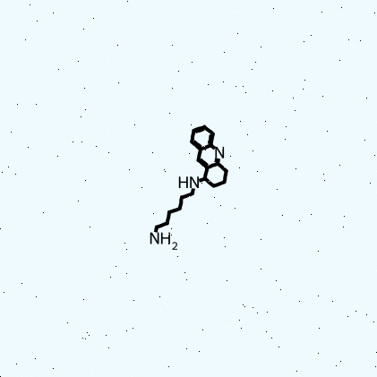 NCCCCCCNC1CCCc2nc3ccccc3cc21